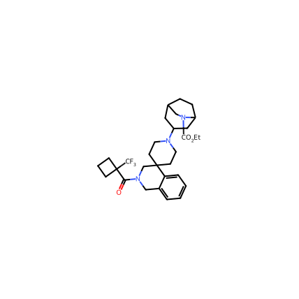 CCOC(=O)N1CC2CCC1CC(N1CCC3(CC1)CN(C(=O)C1(C(F)(F)F)CCC1)Cc1ccccc13)C2